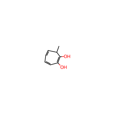 CC1C=CC=CC(O)=C1O